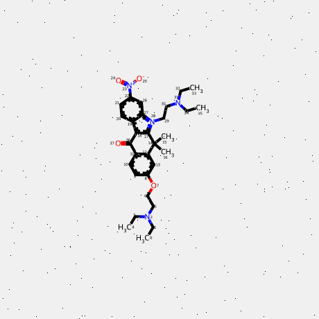 CCN(CC)CCOc1ccc2c(c1)C(C)(C)c1c(c3ccc([N+](=O)[O-])cc3n1CCN(CC)CC)C2=O